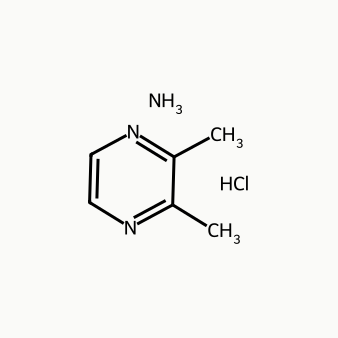 Cc1nccnc1C.Cl.N